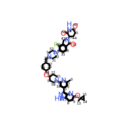 Cc1cc(-c2n[nH]c3ccc(OC4(C)CC4)nc23)cc(N2CCC(OC3CCC(CN4CCN(c5ccc6c(c5F)CN(C5CCC(=O)NC5=O)C6=O)CC4)CC3)CC2)n1